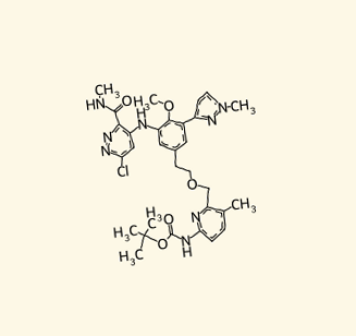 CNC(=O)c1nnc(Cl)cc1Nc1cc(CCOCc2nc(NC(=O)OC(C)(C)C)ccc2C)cc(-c2ccn(C)n2)c1OC